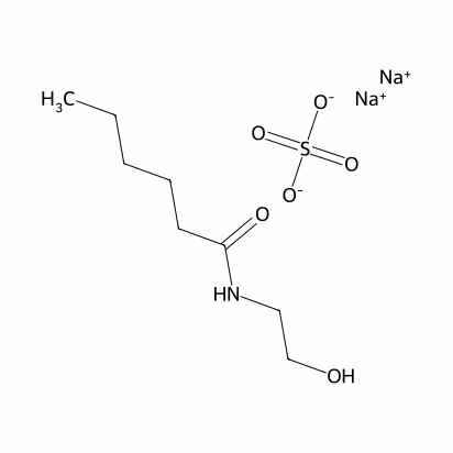 CCCCCC(=O)NCCO.O=S(=O)([O-])[O-].[Na+].[Na+]